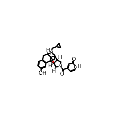 O=C(c1cc[nH]c(=O)c1)N1C[C@H]2C[C@@]34CC[C@@H]1[C@@H]2[C@@]31CCN(CC2CC2)[C@@H]4Cc2ccc(O)cc21